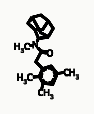 Cc1cc(C)c(C)c(CC(=O)N(C)C2C3CC4CC(C3)CC2C4)c1